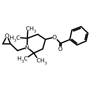 CC1(C)CC(OC(=O)c2ccccc2)CC(C)(C)N1CC1CO1